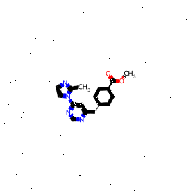 COC(=O)[C@H]1CC[C@H](Cc2cc(-n3ccnc3C)ncn2)CC1